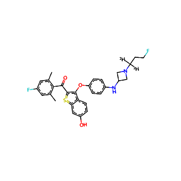 [2H]C([2H])(CCF)N1CC(Nc2ccc(Oc3c(C(=O)c4c(C)cc(F)cc4C)sc4cc(O)ccc34)cc2)C1